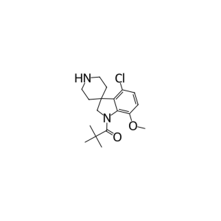 COc1ccc(Cl)c2c1N(C(=O)C(C)(C)C)CC21CCNCC1